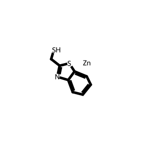 SCc1nc2ccccc2s1.[Zn]